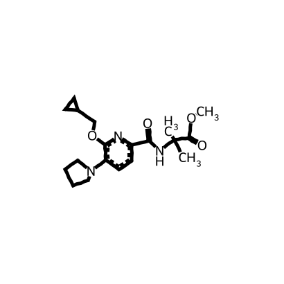 COC(=O)C(C)(C)NC(=O)c1ccc(N2CCCC2)c(OCC2CC2)n1